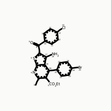 CCOC(=O)c1c(C)nc2sc(C(=O)c3ccc(Cl)cc3)c(N)c2c1-c1ccc(Br)cc1